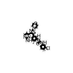 Nc1nccc(-c2nc(N3CCOCC3)sc2-c2cccc(NC(=O)Nc3cccc(Cl)c3)c2)n1